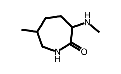 CNC1CCC(C)CNC1=O